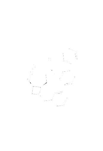 CC(C)(CC[C@@H]1[C@H](N=[N+]=[N-])CN1Cc1ccccc1)[Si](O)(c1ccccc1)c1ccccc1